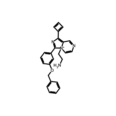 NCC[N+]12C=CN=CC1=C(C1=CC=C1)N=C2c1cccc(OCc2ccccc2)c1